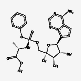 CCCOC(=O)[C@H](C)N[P@@](=O)(OC[C@@]1(C#N)O[C@@H](c2ccc3c(N)ncnn23)[C@H](O)[C@@H]1O)Oc1ccccc1